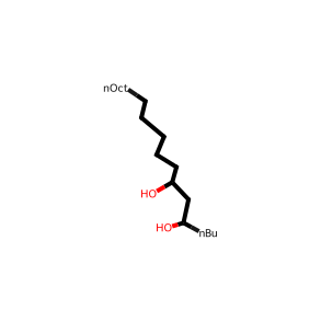 CC[CH]CC(O)CC(O)CCCCCCCCCCCCC